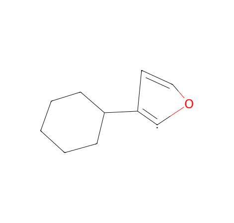 [c]1occc1C1CCCCC1